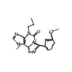 CCCn1c(=O)n2c(-c3cccc(OC)c3)nnc2c2c1ncn2C